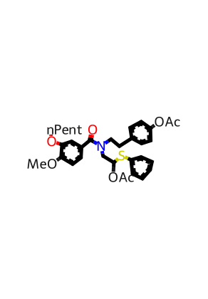 CCCCCOc1cc(C(=O)N(CCc2ccc(OC(C)=O)cc2)CC(OC(C)=O)Sc2ccccc2)ccc1OC